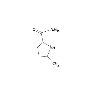 CNC(=O)C1CCC(C)N1